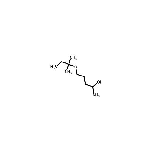 BCC(C)(C)OCCCC(C)O